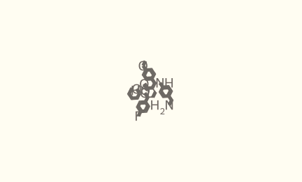 COc1ccc([C@@H](Nc2ccc(CN)cc2)[C@@H](CC[C@H](OC2CCCCO2)c2ccc(F)cc2)C(=O)O)cc1